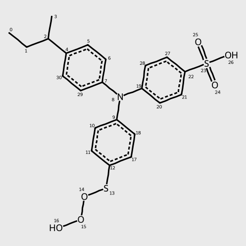 CCC(C)c1ccc(N(c2ccc(SOOO)cc2)c2ccc(S(=O)(=O)O)cc2)cc1